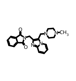 CN1CCN(Cc2c(CN3C(=O)c4ccccc4C3=O)nc3ccccn23)CC1